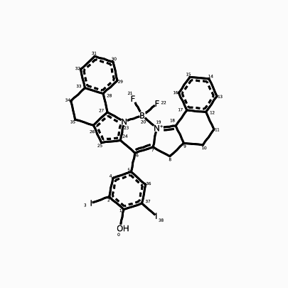 Oc1c(I)cc(C2=C3CC4CCc5ccccc5C4=[N+]3[B-](F)(F)n3c2cc2c3-c3ccccc3CC2)cc1I